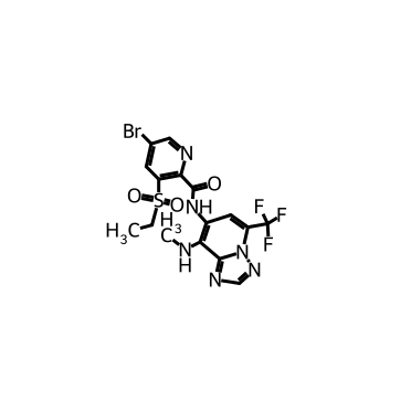 CCS(=O)(=O)c1cc(Br)cnc1C(=O)Nc1cc(C(F)(F)F)n2ncnc2c1NC